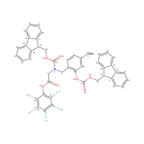 COc1ccc(CN(CC(=O)Oc2c(F)c(F)c(F)c(F)c2F)C(=O)OCC2c3ccccc3-c3ccccc32)c(OC(=O)OCC2c3ccccc3-c3ccccc32)c1